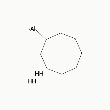 [Al][CH]1CCCCCCC1.[HH].[HH]